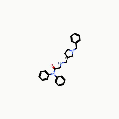 O=C(CNC[C@H]1CCN(Cc2ccccc2)C1)N(c1ccccc1)c1ccccc1